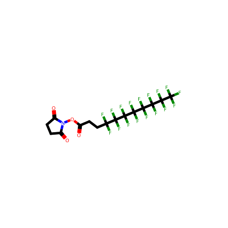 O=C(CCC(F)(F)C(F)(F)C(F)(F)C(F)(F)C(F)(F)C(F)(F)C(F)(F)C(F)(F)F)ON1C(=O)CCC1=O